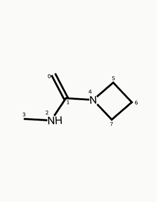 C=C(NC)N1CCC1